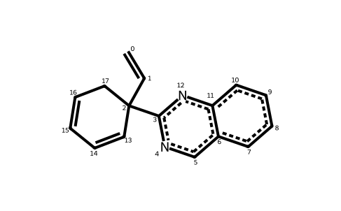 C=CC1(c2ncc3ccccc3n2)C=CC=CC1